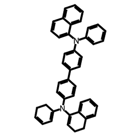 C1=CCCC(N(C2=CCCc3ccccc32)c2ccc(-c3ccc(N(c4ccccc4)c4cccc5ccccc45)cc3)cc2)=C1